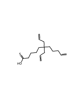 C=CCCCC(CC=C)(CC=C)CCCCC(O)=S